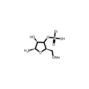 B[C@@H]1O[C@H](COC)C(OP(=O)(O)CC)[C@@H]1O